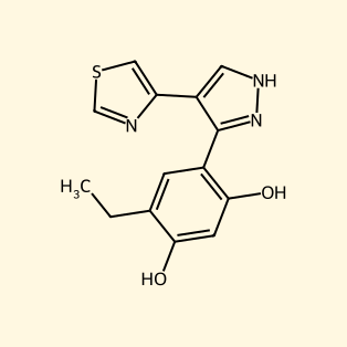 CCc1cc(-c2n[nH]cc2-c2cscn2)c(O)cc1O